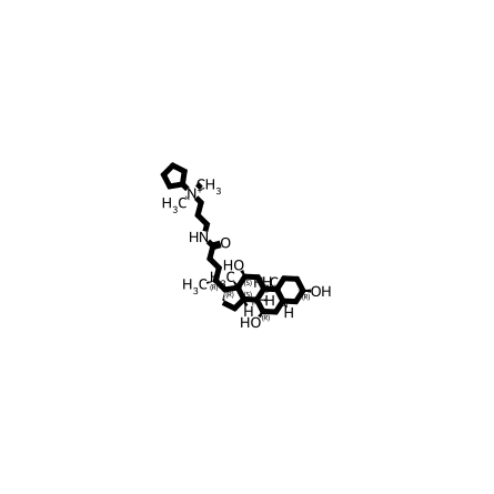 C[C@H](CCC(=O)NCCC[N+](C)(C)C1CCCC1)[C@H]1CC[C@H]2[C@@H]3[C@H](O)C[C@@H]4C[C@H](O)CC[C@]4(C)[C@H]3C[C@H](O)[C@]12C